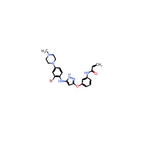 C=CC(=O)Nc1cccc(Oc2cc(Nc3ccc(N4CCN(C)CC4)cc3Br)[nH]n2)c1